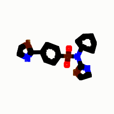 O=S(=O)(c1ccc(-c2nccs2)cc1)N(c1ccccc1)c1nccs1